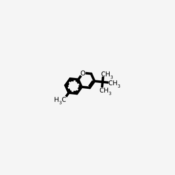 Cc1ccc2c(c1)C=C(C(C)(C)C)CO2